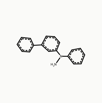 NN(c1ccccc1)c1cccc(-c2ccccc2)c1